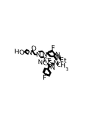 CCn1nc2c(F)cc(N3CCN(CC(=O)N4CC(O)C4)C[C@H]3C(F)(F)F)cc2c1N(C)c1nc(-c2ccc(F)cc2)c(C#N)s1